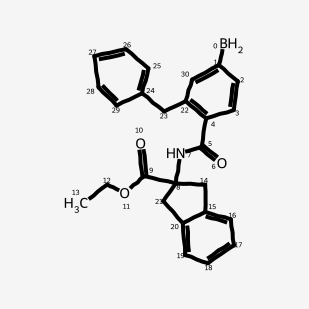 Bc1ccc(C(=O)NC2(C(=O)OCC)Cc3ccccc3C2)c(Cc2ccccc2)c1